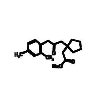 COC(=O)CC1(CC(=O)Cc2ccc(C)cc2C)CCCC1